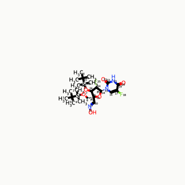 CC(C)(C)[Si](C)(C)OC[C@@]1(C=NO)O[C@@H](n2cc(F)c(=O)[nH]c2=O)[C@@H](F)C1O[Si](C)(C)C(C)(C)C